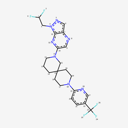 FC(F)Cn1ncc2ncc(N3CCCC4(CCN(c5ccc(C(F)(F)F)cn5)CC4)C3)nc21